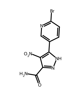 NC(=O)c1n[nH]c(-c2ccc(Br)nc2)c1[N+](=O)[O-]